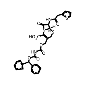 O=C(Cc1cccs1)NC1C(=O)N2C(C(=O)O)=C(COC(=O)NC(=O)OC(c3ccccc3)c3ccccc3)CS[C@@H]12